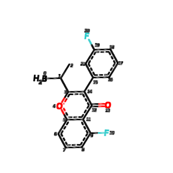 BC(C)c1oc2cccc(F)c2c(=O)c1-c1cccc(F)c1